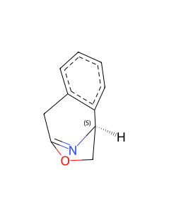 c1ccc2c(c1)CC1=N[C@@H]2CO1